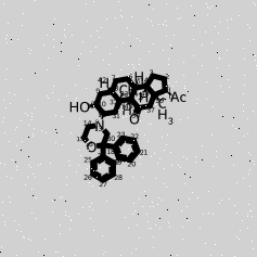 CC(=O)[C@H]1CC[C@H]2[C@@H]3CC[C@H]4C[C@H](O)[C@@H](N5CCOC(c6ccccc6)(c6ccccc6)C5)C[C@]4(C)[C@H]3C(=O)C[C@]12C